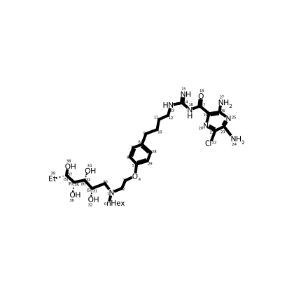 CCCCCCN(CCOc1ccc(CCCCNC(=N)NC(=O)c2nc(Cl)c(N)nc2N)cc1)C[C@H](O)[C@@H](O)[C@H](O)[C@@H](O)CC